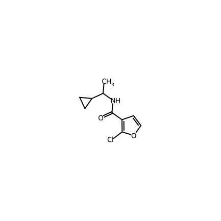 CC(NC(=O)c1ccoc1Cl)C1CC1